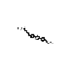 C=CCc1ccc(-c2ccc(-c3ccc(/C=C/CCCC(C)F)cc3)nc2)cc1